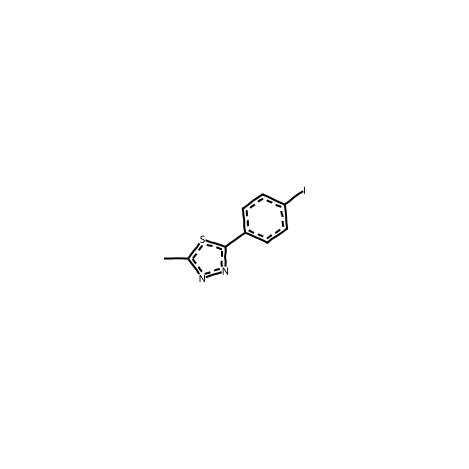 Cc1nnc(-c2ccc(I)cc2)s1